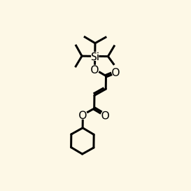 CC(C)[Si](OC(=O)/C=C/C(=O)OC1CCCCC1)(C(C)C)C(C)C